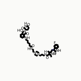 Cc1[nH]c(/C=C2\C(=O)Nc3ccc(F)cc32)c(C)c1C(=O)NCCCN1CCN(CCNC(=O)CCCCCNc2cccc3c2C(=O)N(C2CCC(=O)NC2=O)C3O)CC1